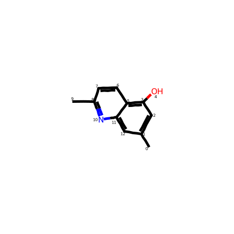 Cc1cc(O)c2ccc(C)nc2c1